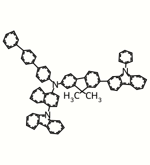 CC1(C)c2cc(-c3ccc4c5ccccc5n(-c5ccccc5)c4c3)ccc2-c2ccc(N(c3ccc(-c4ccc(-c5ccccc5)cc4)cc3)c3ccc(-n4c5ccccc5c5ccccc54)c4ccccc34)cc21